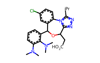 CC(C)c1nnc2n1-c1ccc(Cl)cc1C(c1cccc(N(C)C)c1N(C)C)OC2CC(=O)O